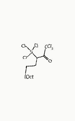 CCCCCCCCCCC(C(=O)C(Cl)(Cl)Cl)[Si](Cl)(Cl)Cl